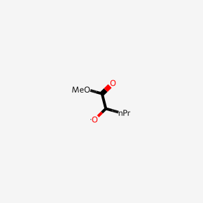 CCCC([O])C(=O)OC